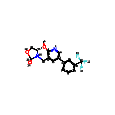 COc1ncc(-c2cccc(C(F)(F)F)c2)cc1CN1CCOC1=O